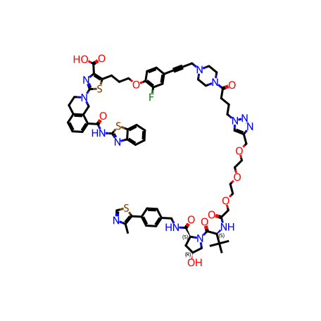 Cc1ncsc1-c1ccc(CNC(=O)[C@@H]2C[C@@H](O)CN2C(=O)[C@@H](NC(=O)COCCOCCOCc2cn(CCCC(=O)N3CCN(CC#Cc4ccc(OCCCc5sc(N6CCc7cccc(C(=O)Nc8nc9ccccc9s8)c7C6)nc5C(=O)O)c(F)c4)CC3)nn2)C(C)(C)C)cc1